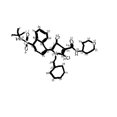 CC(C)(C)NS(=O)(=O)c1ccc(-c2c(Cl)c(C(=O)NC3CCOCC3)c(Cl)n2CC2CCCCC2)c2ccccc12